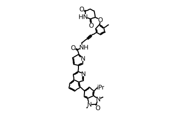 Cc1ccc(C#CCNC(=O)c2ccc(-c3cc4cccc(-c5cc(C(C)C)c6c(c5)n(C)c(=O)n6C)c4cn3)cn2)cc1OC1CCC(=O)NC1=O